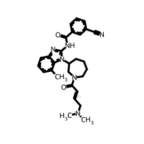 Cc1cccc2nc(NC(=O)c3cccc(C#N)c3)n(C3CCCCN(C(=O)/C=C/CN(C)C)C3)c12